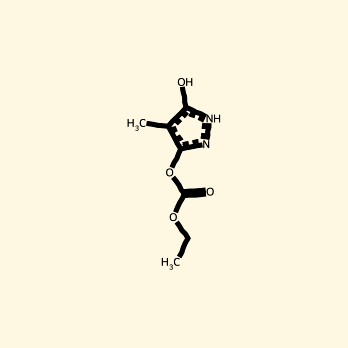 CCOC(=O)Oc1n[nH]c(O)c1C